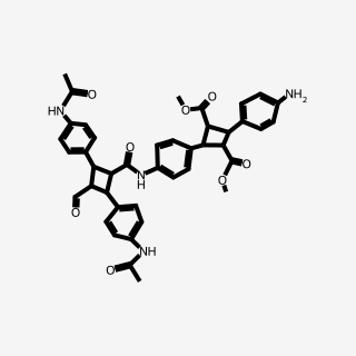 COC(=O)C1C(c2ccc(N)cc2)C(C(=O)OC)C1c1ccc(NC(=O)C2C(c3ccc(NC(C)=O)cc3)C(C=O)C2c2ccc(NC(C)=O)cc2)cc1